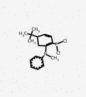 CN(C1=C(P(Cl)Cl)C=CC(C(C)(C)C)C1)c1ccccc1